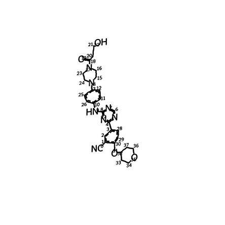 N#Cc1cc(-c2ncnc(Nc3ccc(N4CCN(C(=O)CCO)CC4)cc3)n2)ccc1OC1CCOCC1